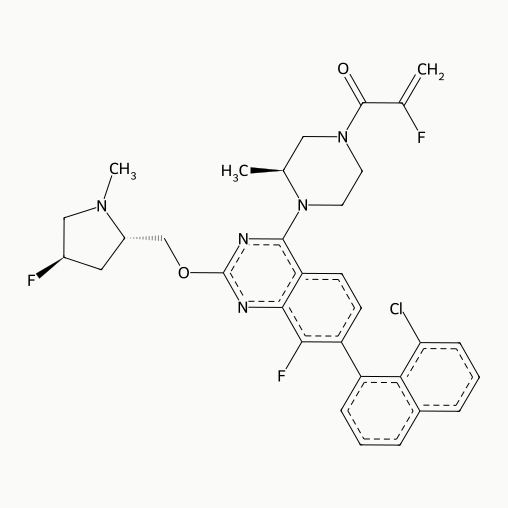 C=C(F)C(=O)N1CCN(c2nc(OC[C@@H]3C[C@@H](F)CN3C)nc3c(F)c(-c4cccc5cccc(Cl)c45)ccc23)[C@@H](C)C1